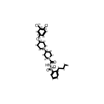 CCCCc1ccccc1S(=O)(=O)NC(=O)N1CCC(N2CCC(Oc3ccc(Cl)c(Cl)c3)CC2)CC1